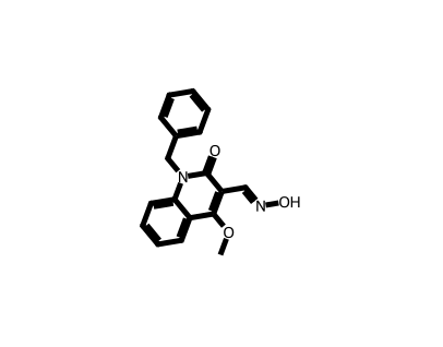 COc1c(C=NO)c(=O)n(Cc2ccccc2)c2ccccc12